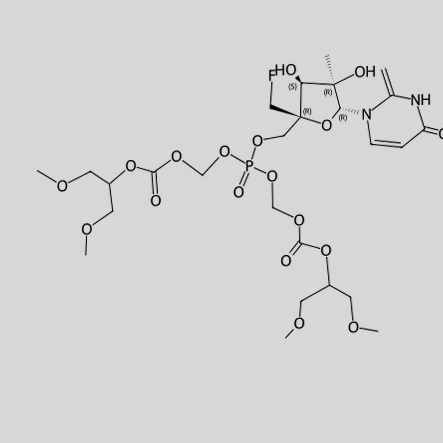 C=C1NC(=O)C=CN1[C@@H]1O[C@](CF)(COP(=O)(OCOC(=O)OC(COC)COC)OCOC(=O)OC(COC)COC)[C@@H](O)[C@@]1(C)O